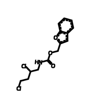 O=C(NCC(Cl)CCCl)OCc1cc2ccccc2o1